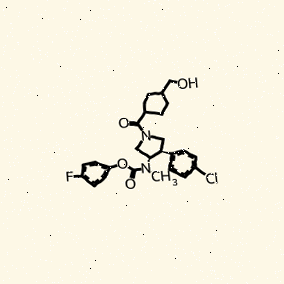 CN(C(=O)Oc1ccc(F)cc1)[C@@H]1CN(C(=O)C2CCC(CO)CC2)C[C@H]1c1ccc(Cl)cc1